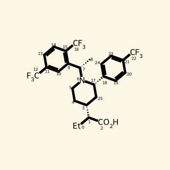 CCC(C(=O)O)[C@@H]1CCN([C@@H](C)c2cc(C(F)(F)F)ccc2C(F)(F)F)[C@H](c2ccc(C(F)(F)F)cc2)C1